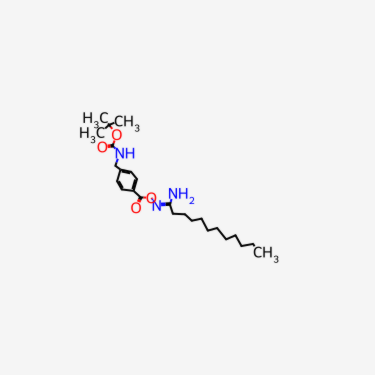 CCCCCCCCCCCC(N)=NOC(=O)c1ccc(CNC(=O)OC(C)(C)C)cc1